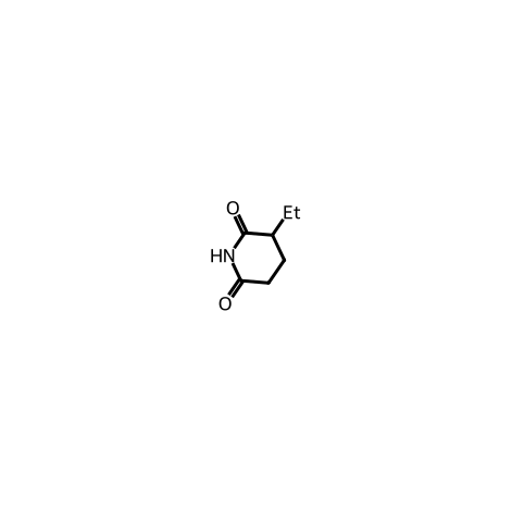 CCC1CCC(=O)NC1=O